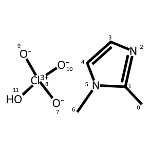 Cc1nccn1C.[O-][Cl+3]([O-])([O-])O